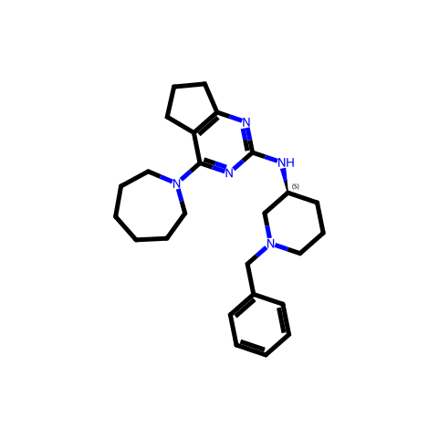 c1ccc(CN2CCC[C@H](Nc3nc4c(c(N5CCCCCC5)n3)CCC4)C2)cc1